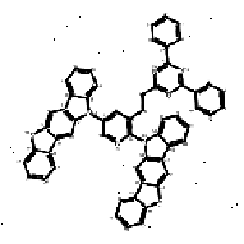 c1ccc(-c2nc(CCc3cc(-n4c5ccccc5c5cc6sc7ccccc7c6cc54)cnc3-n3c4ccccc4c4cc5sc6ccccc6c5cc43)nc(-c3ccccc3)n2)cc1